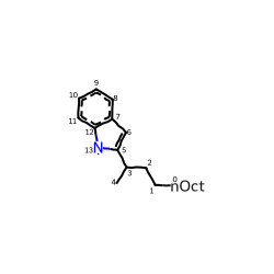 CCCCCCCCCCC(C)C1=Cc2ccccc2[N]1